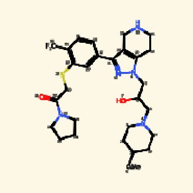 COC1CCN(CC(O)Cn2nc(-c3ccc(C(F)(F)F)c(SCC(=O)N4CCCC4)c3)c3c2CCNC3)CC1